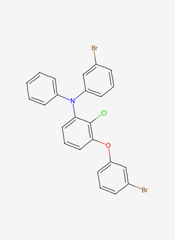 Clc1c(Oc2cccc(Br)c2)cccc1N(c1ccccc1)c1cccc(Br)c1